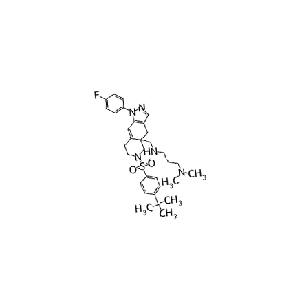 CN(C)CCCNCC12Cc3cnn(-c4ccc(F)cc4)c3C=C1CCN(S(=O)(=O)c1ccc(C(C)(C)C)cc1)C2